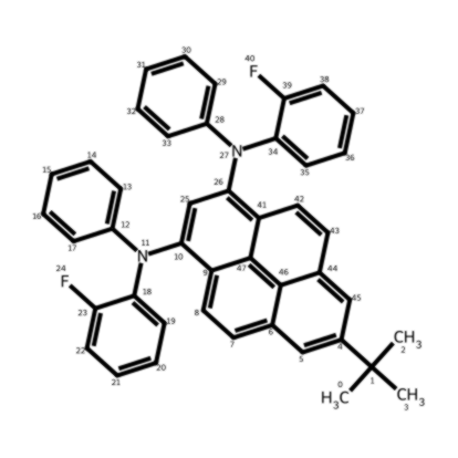 CC(C)(C)c1cc2ccc3c(N(c4ccccc4)c4ccccc4F)cc(N(c4ccccc4)c4ccccc4F)c4ccc(c1)c2c34